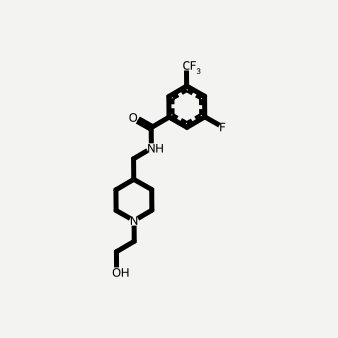 O=C(NCC1CCN(CCO)CC1)c1cc(F)cc(C(F)(F)F)c1